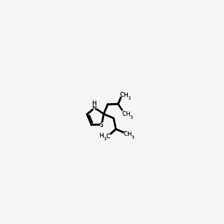 CC(C)CC1(CC(C)C)NC=CS1